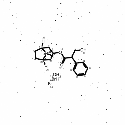 Br.CC(C)[N+]1(C)[C@@H]2CC[C@H]1CC(OC(=O)C(CO)c1ccccc1)C2.O.[Br-]